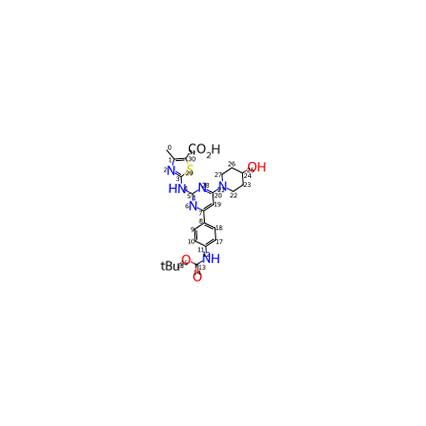 Cc1nc(Nc2nc(-c3ccc(NC(=O)OC(C)(C)C)cc3)cc(N3CCC(O)CC3)n2)sc1C(=O)O